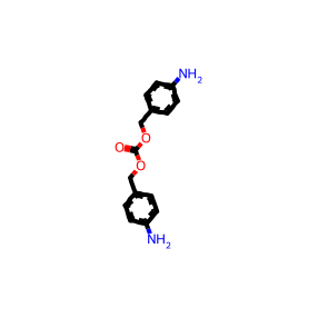 Nc1ccc(COC(=O)OCc2ccc(N)cc2)cc1